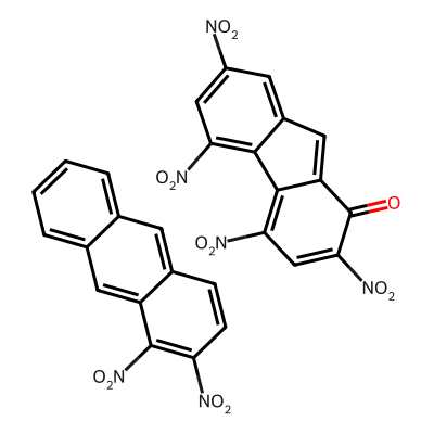 O=C1C2=Cc3cc([N+](=O)[O-])cc([N+](=O)[O-])c3C2=C([N+](=O)[O-])C=C1[N+](=O)[O-].O=[N+]([O-])c1ccc2cc3ccccc3cc2c1[N+](=O)[O-]